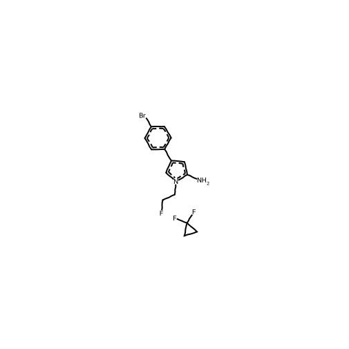 FC1(F)CC1.Nc1cc(-c2ccc(Br)cc2)cn1CCF